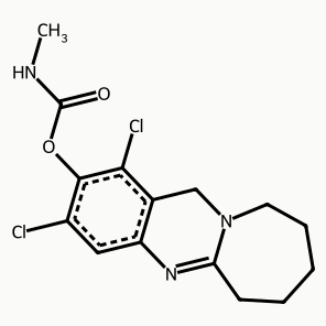 CNC(=O)Oc1c(Cl)cc2c(c1Cl)CN1CCCCCC1=N2